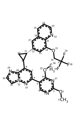 COc1ncc(-c2cc(C3C[C@@H]3c3cc(OCC(F)(F)F)c4ncccc4c3)c3nccn3n2)c(OC)n1